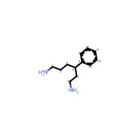 NCCCC(CCN)c1ccccc1